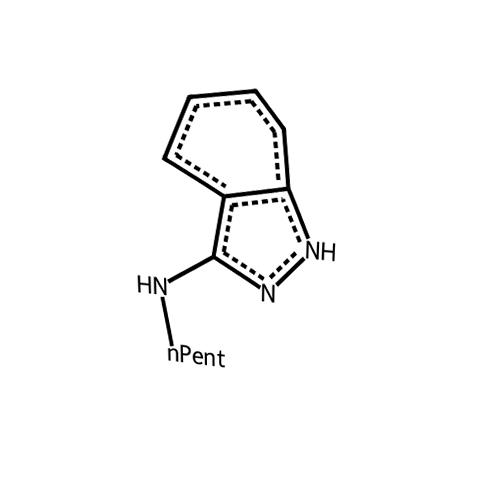 CCCCCNc1n[nH]c2ccccc12